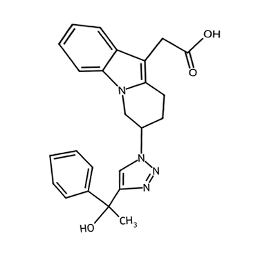 CC(O)(c1ccccc1)c1cn(C2CCc3c(CC(=O)O)c4ccccc4n3C2)nn1